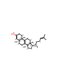 CC(C)=CCC[C@@H](C)[C@H]1CC[C@H]2C3=C(CC[C@]12C)[C@@]1(C)CCC(O)=C[C@@H]1CC3